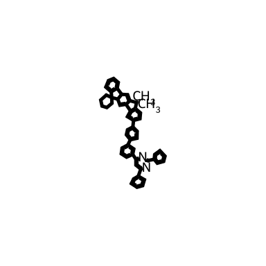 CC1(C)C2=CC3c4ccccc4C4(CCCCC4)C3C=C2c2cc(-c3ccc(-c4cccc(-c5cc(-c6ccccc6)nc(-c6ccccc6)n5)c4)cc3)ccc21